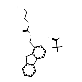 NCCNC(=O)OCc1cccc2c1Cc1ccccc1-2.O=C(O)C(F)(F)F